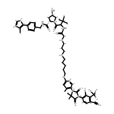 Cc1cc(OCCCCCOCCCOCC(=O)NC(C(=O)N2C[C@H](O)C[C@H]2C(=O)NCc2ccc(-c3scnc3C)cc2)C(C)(C)C)ncc1N1C(=S)N(c2ccc(C#N)c(C(F)(F)F)c2F)C(=O)C1(C)C